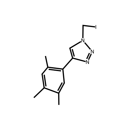 Cc1cc(C)c(-c2cn(CI)nn2)cc1C